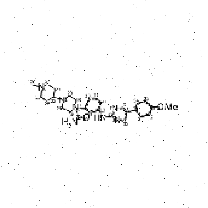 COc1ccc(-c2cnc(Nc3cccc([N+]4(C(N)=O)CCN(C5CCN(C)CC5)CC4)c3)nc2)cc1